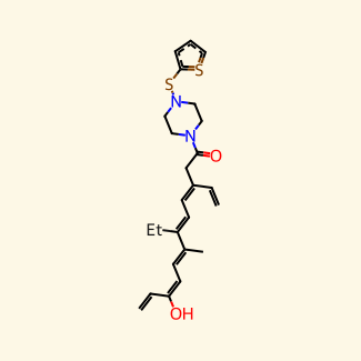 C=C\C(=C/C=C(CC)/C(C)=C/C=C(/O)C=C)CC(=O)N1CCN(Sc2cccs2)CC1